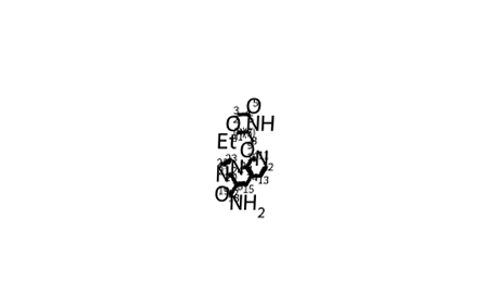 CC[C@H]1OCC(=O)N[C@H]1COc1nccc2cc(C(N)=O)c3nccn3c12